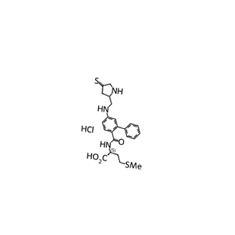 CSCC[C@H](NC(=O)c1ccc(NCC2CC(=S)CN2)cc1-c1ccccc1)C(=O)O.Cl